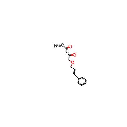 COC(=O)CC(=O)COC/C=C/c1ccccc1